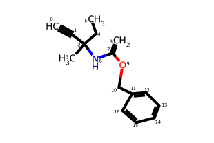 C#CC(C)(CC)NC(=C)OCc1ccccc1